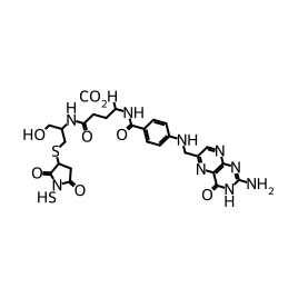 Nc1nc2ncc(CNc3ccc(C(=O)NC(CCC(=O)NC(CO)CSC4CC(=O)N(S)C4=O)C(=O)O)cc3)nc2c(=O)[nH]1